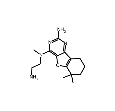 CN(CCN)c1nc(N)nc2c3c(oc12)C(C)(C)CCC3